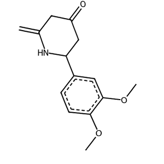 C=C1CC(=O)CC(c2ccc(OC)c(OC)c2)N1